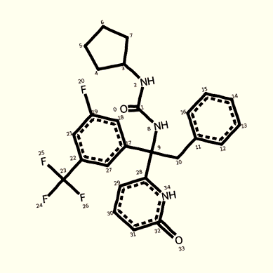 O=C(NC1CCCC1)NC(Cc1ccccc1)(c1cc(F)cc(C(F)(F)F)c1)c1cccc(=O)[nH]1